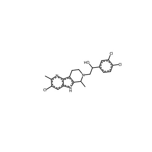 Cc1nc2c3c([nH]c2cc1Cl)C(C)N(CC(O)c1ccc(Cl)c(Cl)c1)CC3